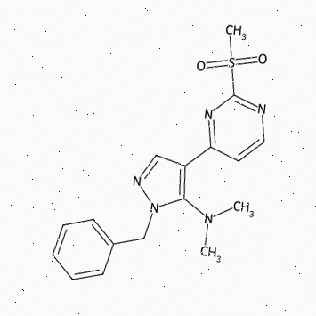 CN(C)c1c(-c2ccnc(S(C)(=O)=O)n2)cnn1Cc1ccccc1